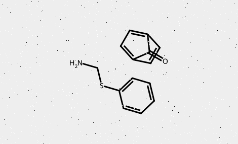 NCSc1ccccc1.O=C1C2=CC=C1C=C2